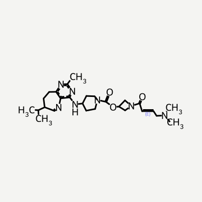 Cc1nc2c(c(NC3CCN(C(=O)OC4CN(C(=O)/C=C/CN(C)C)C4)CC3)n1)N=CC(C(C)C)CC2